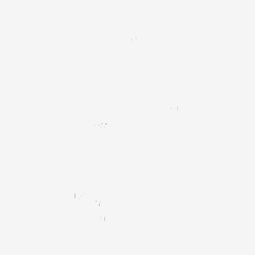 COc1ccccc1/C(=C(/CCO)c1ccc(Cl)cc1)c1ccc(OCCN(C)C)cc1